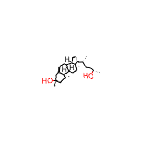 C[C@H](O)CC[C@@H](C)[C@H]1CC[C@H]2[C@@H]3CC=C4C[C@@](C)(O)CC[C@]4(C)[C@H]3CC[C@]12C